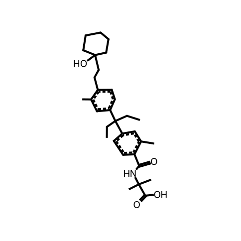 CCC(CC)(c1ccc(CCC2(O)CCCCC2)c(C)c1)c1ccc(C(=O)NC(C)(C)C(=O)O)c(C)c1